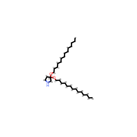 CCCCCCCCCCCCCCOC1(OCCCCCCCCCCCCCC)CCNC1